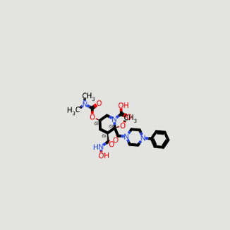 CO[C@]1(C(=O)N2CCN(c3ccccc3)CC2)[C@@H](C(=O)NO)C[C@H](OC(=O)N(C)C)CN1C(=O)O